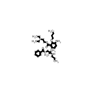 CCCCOc1c(N)cccc1C(=O)OCCN(CC)CC.CCCNC(C)(C)COC(=O)c1ccccc1